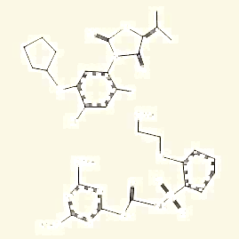 CC(C)=C1OC(=O)N(c2cc(OC3CCCC3)c(Cl)cc2F)C1=O.COCCOc1ccccc1S(=O)(=O)NC(=O)Nc1nc(OC)nc(OC)n1